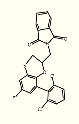 O=C1c2ccccc2C(=O)N1CC1CSc2cc(F)cc(-c3c(Cl)cccc3Cl)c2O1